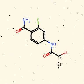 CC[C@@H](Br)C(=O)Nc1ccc(C(N)=O)c(F)c1